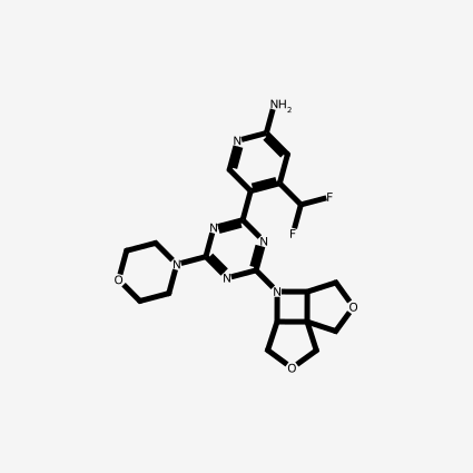 Nc1cc(C(F)F)c(-c2nc(N3CCOCC3)nc(N3C4COCC45COCC35)n2)cn1